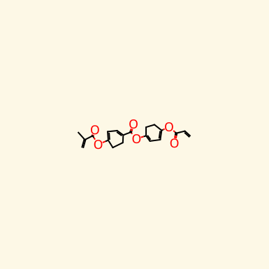 C=CC(=O)OC1=CC=C(OC(=O)C2=CC=C(OC(=O)C(=C)C)CC2)CC1